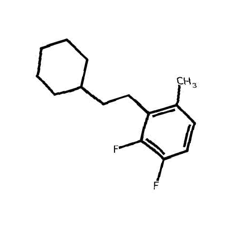 Cc1ccc(F)c(F)c1CCC1CCCCC1